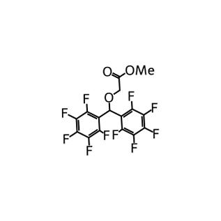 COC(=O)COC(c1c(F)c(F)c(F)c(F)c1F)c1c(F)c(F)c(F)c(F)c1F